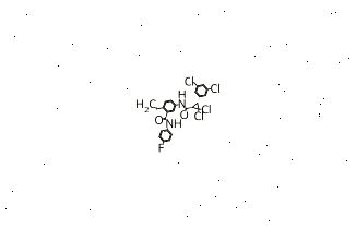 C=Cc1ccc(NC(=O)[C@H]2[C@H](c3cc(Cl)cc(Cl)c3)C2(Cl)Cl)cc1C(=O)Nc1ccc(F)cc1